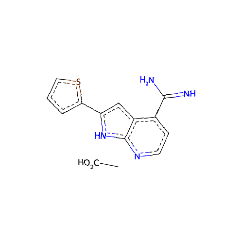 CC(=O)O.N=C(N)c1ccnc2[nH]c(-c3cccs3)cc12